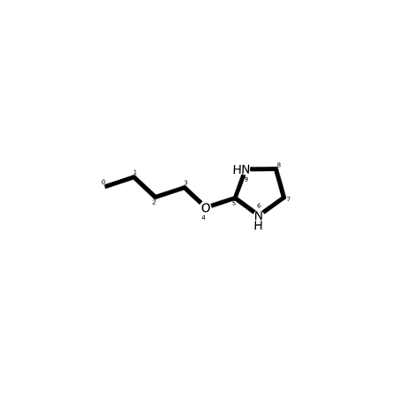 CCCCO[C]1NCCN1